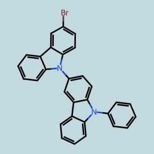 Brc1ccc2c(c1)c1ccccc1n2-c1ccc2c(c1)c1ccccc1n2-c1ccccc1